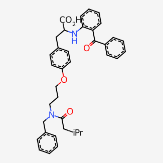 CC(C)CC(=O)N(CCCOc1ccc(CC(Nc2ccccc2C(=O)c2ccccc2)C(=O)O)cc1)Cc1ccccc1